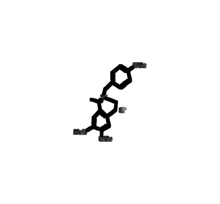 COc1ccc(C[N+]2=C(C)c3cc(OC)c(OC)cc3CC2)cc1.[Cl-]